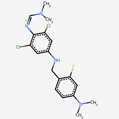 CN(C)/C=N\c1c(Cl)cc(NCc2ccc(N(C)C)cc2F)cc1Cl